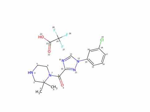 CC1(C)CNCCN1C(=O)c1ncn(-c2cccc(Cl)c2)n1.O=C(O)C(F)(F)F